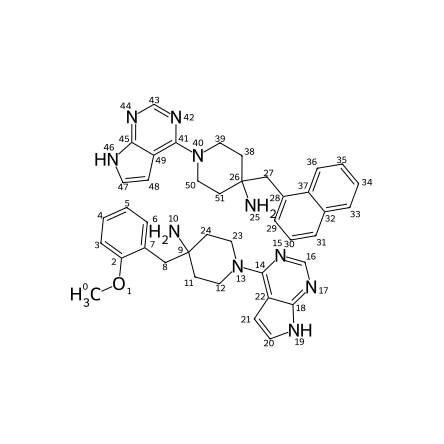 COc1ccccc1CC1(N)CCN(c2ncnc3[nH]ccc23)CC1.NC1(Cc2cccc3ccccc23)CCN(c2ncnc3[nH]ccc23)CC1